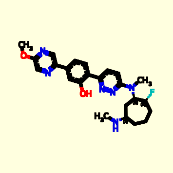 CN[C@H]1CCC[C@@H](F)[C@@H](N(C)c2ccc(-c3ccc(-c4cnc(OC)cn4)cc3O)nn2)C1